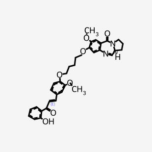 COc1cc(/C=C/C(=O)c2ccccc2O)ccc1OCCCCCOc1cc2c(cc1OC)C(=O)N1CCC[C@H]1C=N2